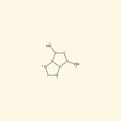 OC1CC(O)C2OCOC12